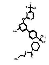 Cc1cc(Nc2nccc(C(F)(F)F)n2)cc(-c2ccc(C(C)(O)[C@H]3CC[C@H](C(=O)OCCO)CC3)cc2)c1